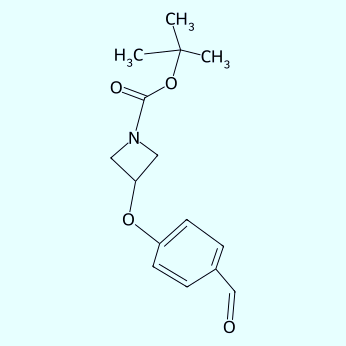 CC(C)(C)OC(=O)N1CC(Oc2ccc(C=O)cc2)C1